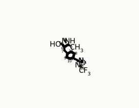 Cc1[nH]nc(O)c1Cc1ccc(-c2noc(C(F)(F)F)n2)cc1